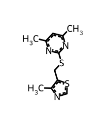 Cc1cc(C)nc(SCc2scnc2C)n1